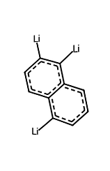 [Li][c]1ccc2[c]([Li])cccc2[c]1[Li]